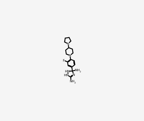 NC1=NC(N)(c2ccc(N3CCC(N4CCCC4)CC3)c(F)c2)NN1